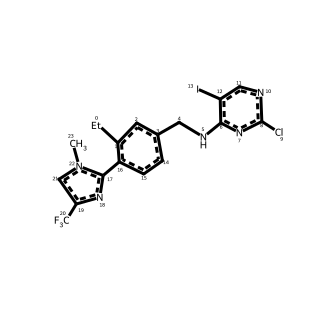 CCc1cc(CNc2nc(Cl)ncc2I)ccc1-c1nc(C(F)(F)F)cn1C